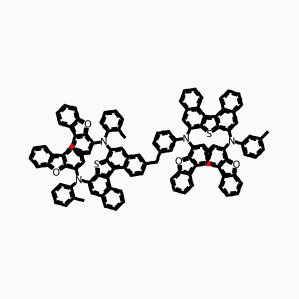 Cc1cccc(N(c2cccc3c2oc2ccccc23)c2cc3ccccc3c3c2sc2c(N(c4cccc(Cc5ccc6c(c5)cc(N(c5ccccc5C)c5cccc7c5oc5ccccc57)c5sc7c(N(c8ccccc8C)c8cccc9c8oc8ccccc89)cc8ccccc8c7c56)c4)c4cccc5c4oc4ccccc45)cc4ccccc4c23)c1